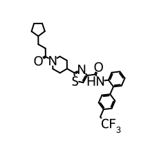 O=C(Nc1ccccc1-c1ccc(CC(F)(F)F)cc1)c1csc(C2CCN(C(=O)CCC3CCCC3)CC2)n1